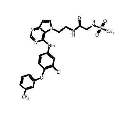 CS(=O)(=O)NCC(=O)NCCn1ccc2ncnc(Nc3ccc(Oc4cccc(C(F)(F)F)c4)c(Cl)c3)c21